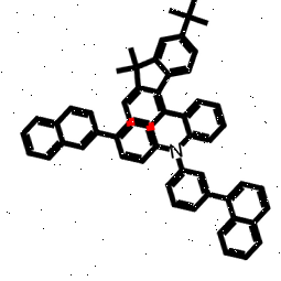 CC(C)(C)c1ccc2c(c1)C(C)(C)c1cccc(-c3ccccc3N(c3ccc(-c4ccc5ccccc5c4)cc3)c3cccc(-c4cccc5ccccc45)c3)c1-2